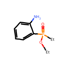 CCOP(=O)(CC)c1ccccc1N